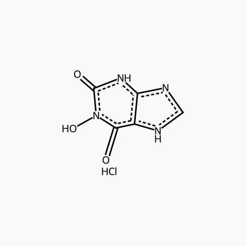 Cl.O=c1[nH]c2nc[nH]c2c(=O)n1O